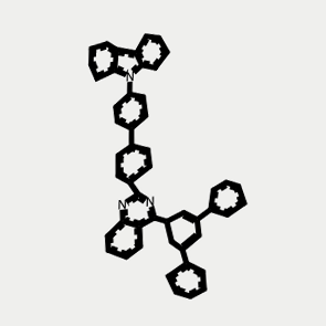 C1=C(c2ccccc2)C=C(c2ccccc2)CC1c1nc(-c2ccc(-c3ccc(-n4c5ccccc5c5ccccc54)cc3)cc2)nc2ccccc12